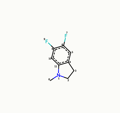 CN1CCc2cc(F)c(F)cc21